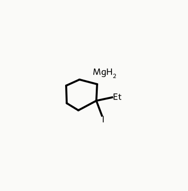 CCC1(I)CCCCC1.[MgH2]